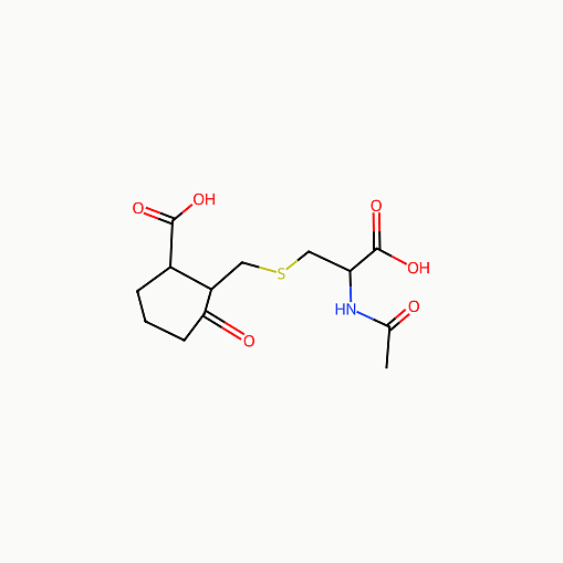 CC(=O)NC(CSCC1C(=O)CCCC1C(=O)O)C(=O)O